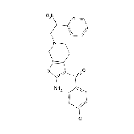 Nc1sc2c(c1C(=O)c1ccc(Cl)cc1)CCN(CC(c1ccccc1)[N+](=O)[O-])C2